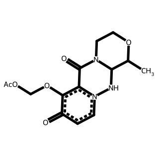 CC(=O)OCOc1c2n(ccc1=O)NC1C(C)OCCN1C2=O